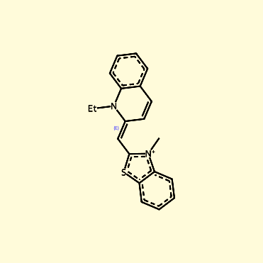 CCN1/C(=C/c2sc3ccccc3[n+]2C)C=Cc2ccccc21